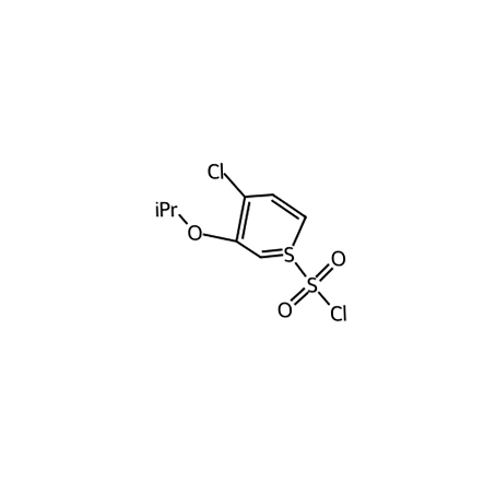 CC(C)OC1=C(Cl)C=CS(S(=O)(=O)Cl)=C1